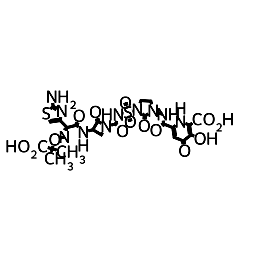 CC(C)(ON=C(C(=O)NC1CN(C(=O)NS(=O)(=O)N2CCN(NC(=O)c3cc(=O)c(O)c(C(=O)O)[nH]3)C2=O)C1=O)c1csc(N)n1)C(=O)O